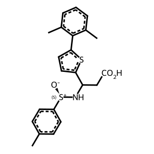 Cc1ccc([S@@+]([O-])NC(CC(=O)O)c2ccc(-c3c(C)cccc3C)s2)cc1